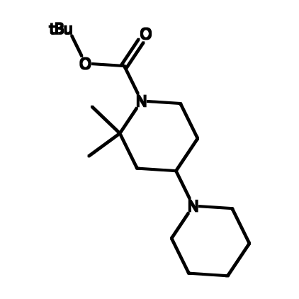 CC(C)(C)OC(=O)N1CCC(N2CCCCC2)CC1(C)C